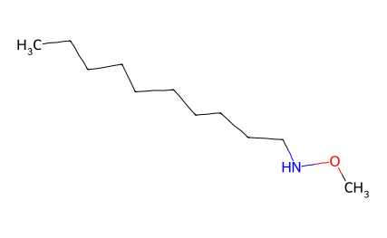 CCCCCCCCCCNOC